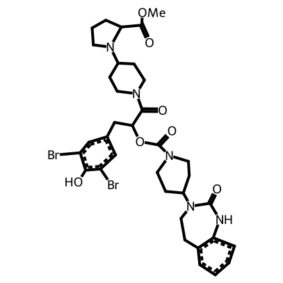 COC(=O)C1CCCN1C1CCN(C(=O)C(Cc2cc(Br)c(O)c(Br)c2)OC(=O)N2CCC(N3CCc4ccccc4NC3=O)CC2)CC1